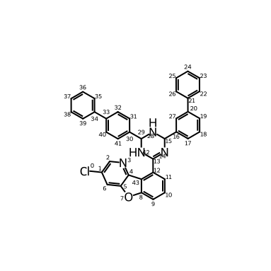 Clc1cnc2c(c1)oc1cccc(C3=NC(c4cccc(-c5ccccc5)c4)NC(c4ccc(-c5ccccc5)cc4)N3)c12